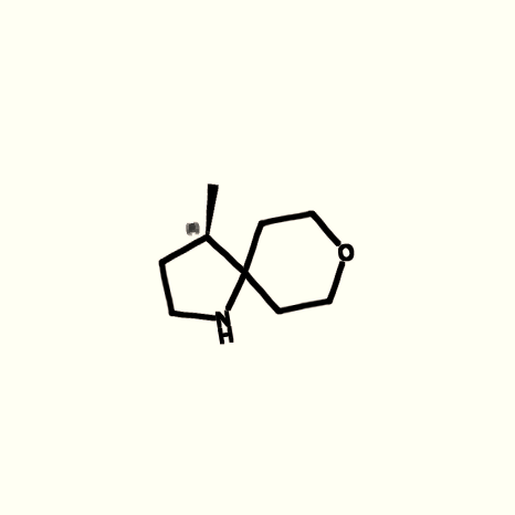 C[C@@H]1CCNC12CCOCC2